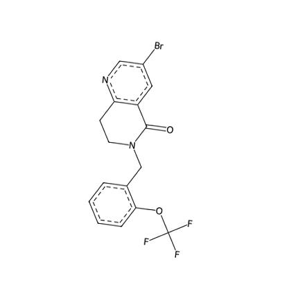 O=C1c2cc(Br)cnc2CCN1Cc1ccccc1OC(F)(F)F